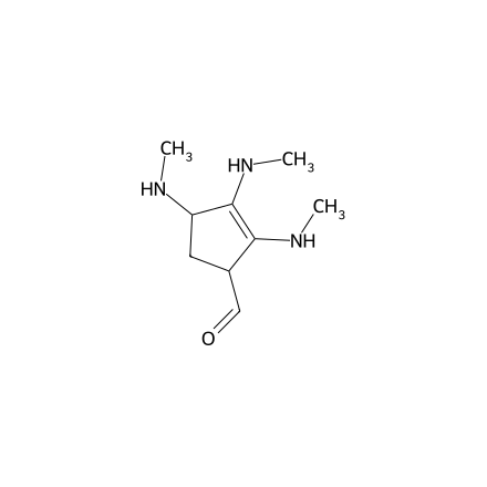 CNC1=C(NC)C(NC)CC1C=O